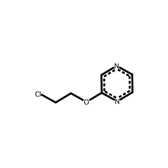 ClCCOc1cnccn1